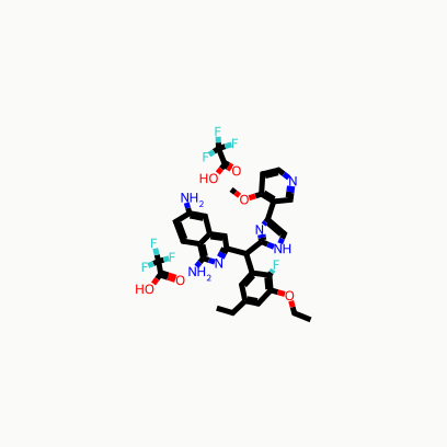 CCOc1cc(CC)cc(C(c2cc3cc(N)ccc3c(N)n2)c2nc(-c3cnccc3OC)c[nH]2)c1F.O=C(O)C(F)(F)F.O=C(O)C(F)(F)F